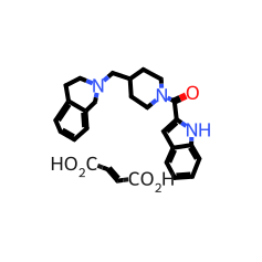 O=C(O)/C=C/C(=O)O.O=C(c1cc2ccccc2[nH]1)N1CCC(CN2CCc3ccccc3C2)CC1